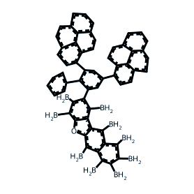 Bc1c(-c2cc(-c3ccc4ccc5cccc6ccc3c4c56)cc(-c3ccc4ccc5cccc6ccc3c4c56)c2-c2ccccc2)c(B)c2c(oc3c(B)c4c(B)c(B)c(B)c(B)c4c(B)c32)c1B